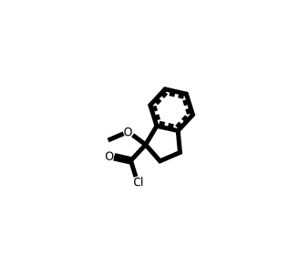 COC1(C(=O)Cl)CCc2ccccc21